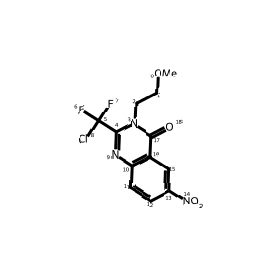 COCCn1c(C(F)(F)Cl)nc2ccc([N+](=O)[O-])cc2c1=O